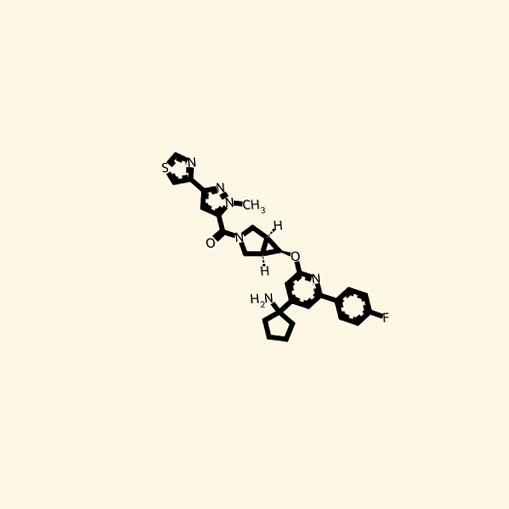 Cn1nc(-c2cscn2)cc1C(=O)N1C[C@@H]2[C@H](C1)[C@@H]2Oc1cc(C2(N)CCCC2)cc(-c2ccc(F)cc2)n1